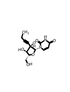 CCC#C[C@@]1(O)[C@H](O)[C@@H](CO)O[C@H]1n1ccc(=O)[nH]c1=O